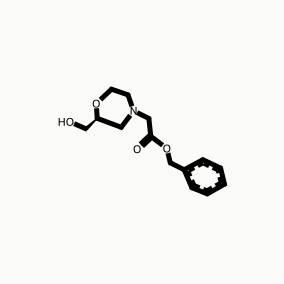 O=C(CN1CCO[C@H](CO)C1)OCc1ccccc1